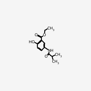 CCOC(=O)c1cc(NC(=O)C(C)C)ccc1O